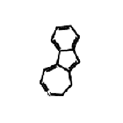 C1=NCCC2=Cc3ccccc3C2=C1